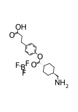 FB(F)F.NC[C@H]1CC[C@H](C(=O)Oc2ccc(CCC(=O)O)cc2)CC1